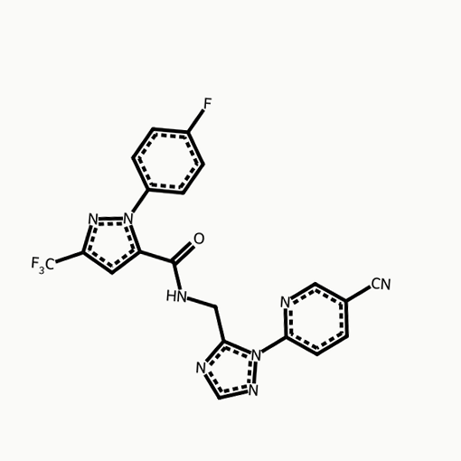 N#Cc1ccc(-n2ncnc2CNC(=O)c2cc(C(F)(F)F)nn2-c2ccc(F)cc2)nc1